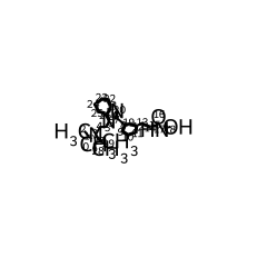 CC(C)N(CCn1c(-c2cccc(C=CC(=O)NO)c2)nc2ccccc21)C(C)C